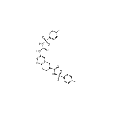 Cc1ccc(S(=O)(=O)NC(=O)Nc2cnc3c(c2)CN(C(=O)NS(=O)(=O)c2ccc(C)cc2)CC3)cc1